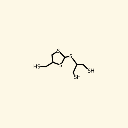 SCC(CS)SC1SCC(CS)S1